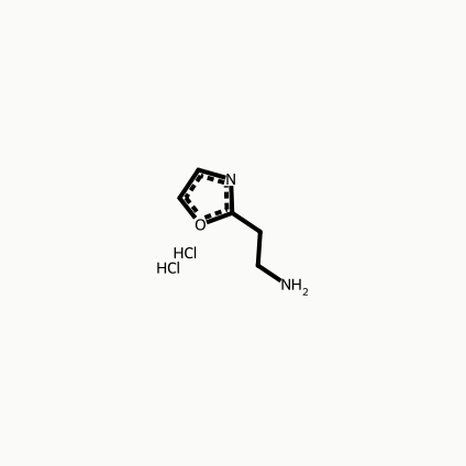 Cl.Cl.NCCc1ncco1